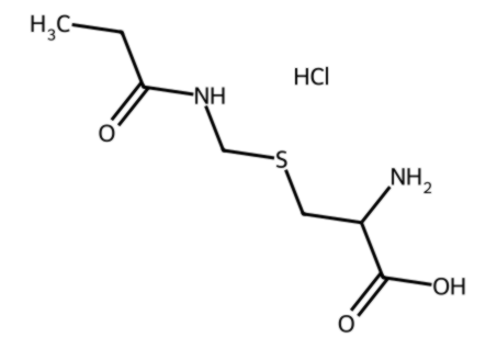 CCC(=O)NCSCC(N)C(=O)O.Cl